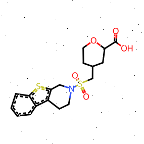 O=C(O)C1CC(CS(=O)(=O)N2CCc3c(sc4ccccc34)C2)CCO1